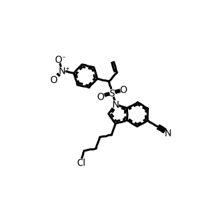 C=CC(c1ccc([N+](=O)[O-])cc1)S(=O)(=O)n1cc(CCCCCl)c2cc(C#N)ccc21